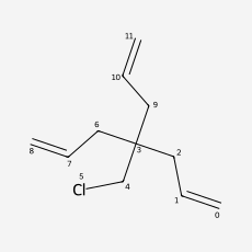 C=CCC(CCl)(CC=C)CC=C